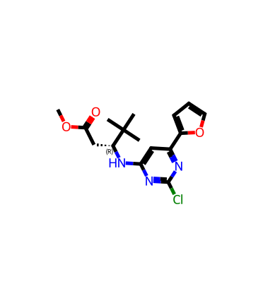 COC(=O)C[C@@H](Nc1cc(-c2ccco2)nc(Cl)n1)C(C)(C)C